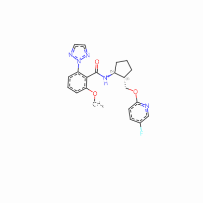 COc1cccc(-n2nccn2)c1C(=O)N[C@H]1CCC[C@@H]1COc1ccc(F)cn1